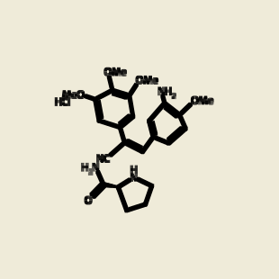 COc1ccc(C=C(C#N)c2cc(OC)c(OC)c(OC)c2)cc1N.Cl.NC(=O)[C@@H]1CCCN1